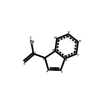 C=C(Br)C1C=Cc2ccccc21